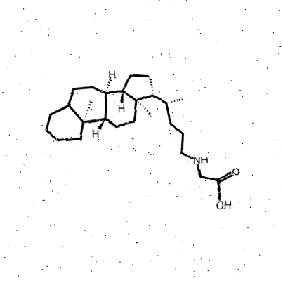 C[C@H](CCCNCC(=O)O)[C@H]1CC[C@H]2[C@@H]3CCC4CCCC[C@]4(C)[C@H]3CC[C@]12C